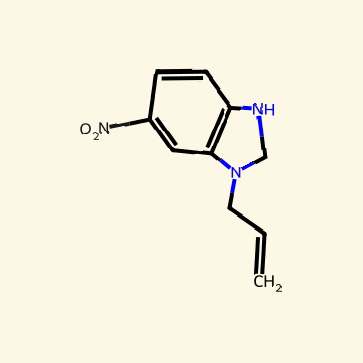 C=CCN1CNc2ccc([N+](=O)[O-])cc21